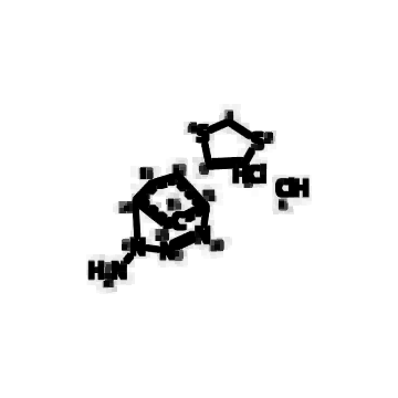 C1=CSCS1.Cl.Cl.NN1N=Nc2ccc1cc2